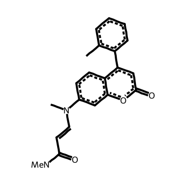 CNC(=O)C=CN(C)c1ccc2c(-c3ccccc3C)cc(=O)oc2c1